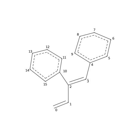 C=CC(=[C]c1ccccc1)c1ccccc1